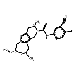 C[C@@H]1Cc2nn3c(c2CN1C(=O)Nc1ccc(F)c(C#N)c1)CN(C)O[C@H](CO)C3